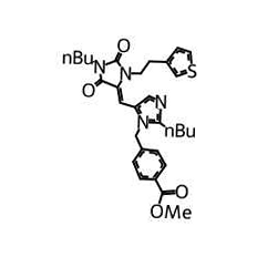 CCCCc1ncc(/C=C2/C(=O)N(CCCC)C(=O)N2CCc2ccsc2)n1Cc1ccc(C(=O)OC)cc1